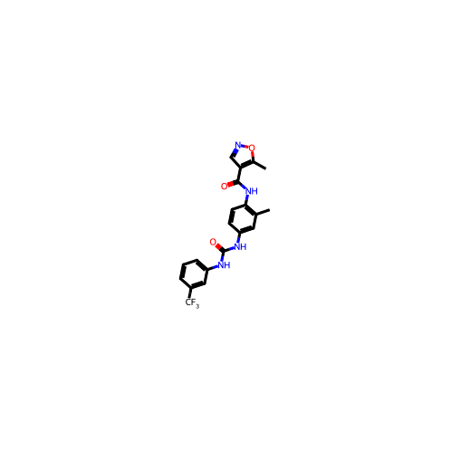 Cc1cc(NC(=O)Nc2cccc(C(F)(F)F)c2)ccc1NC(=O)c1cnoc1C